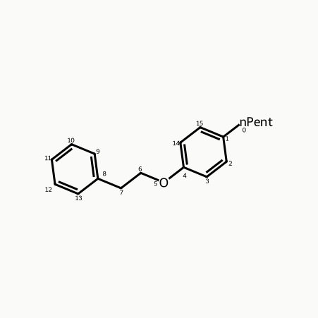 CCCCCc1ccc(OCCc2ccccc2)cc1